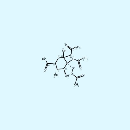 CC(=O)OO[C@]1(OC(C)=O)[C@@H](O)[C@H](O)[C@@H](C(=O)O)OC1(O)OC(C)=O